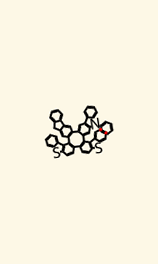 c1ccc(-n2c3ccccc3c3cc4c(cc32)-c2c(ccc3sc5ccccc5c23)-c2ccc3sc5ccccc5c3c2-c2cc3c(cc2-4)-c2ccccc2C3)cc1